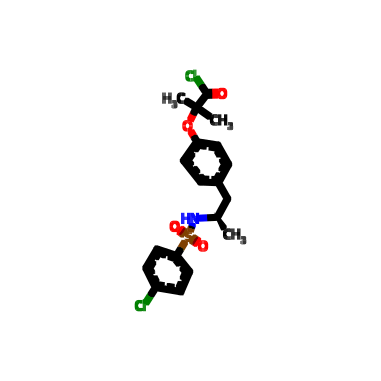 C[C@H](Cc1ccc(OC(C)(C)C(=O)Cl)cc1)NS(=O)(=O)c1ccc(Cl)cc1